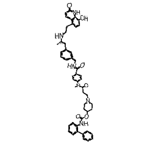 C[C@H](Cc1cccc(CNC(=O)c2ccc(N(C)C(=O)CCN3CCC(OC(=O)Nc4ccccc4-c4ccccc4)CC3)cc2)c1)NCCc1ccc(O)c2[nH]c(=O)ccc12